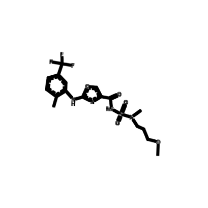 COCCCN(C)S(=O)(=O)NC(=O)c1coc(Nc2cc(C(F)(F)F)ccc2C)n1